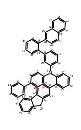 c1ccc(-c2ccc(N(c3cccc(-c4ccccc4-c4ccc5ccccc5c4)c3)c3ccccc3-c3ccc4c(c3)sc3ccccc34)cc2)cc1